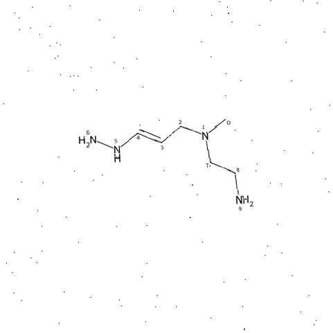 CN(C/C=C/NN)CCN